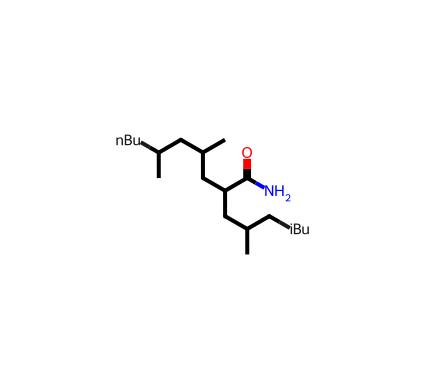 CCCCC(C)CC(C)CC(CC(C)CC(C)CC)C(N)=O